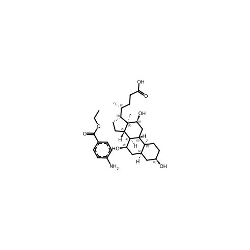 CCOC(=O)c1ccc(N)cc1.C[C@H](CCC(=O)O)[C@H]1CC[C@H]2[C@@H]3[C@H](O)C[C@@H]4C[C@H](O)CC[C@]4(C)[C@H]3C[C@H](O)[C@]12C